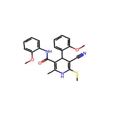 COc1ccccc1NC(=O)C1=C(C)NC(SC)=C(C#N)C1c1ccccc1OC